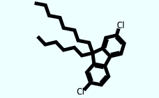 CCCCCCCCC1(CCCCCC)c2cc(Cl)ccc2-c2ccc(Cl)cc21